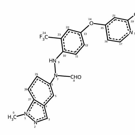 Cn1ncc2cc(N(C=O)Nc3ccc(Oc4ccnc(C#N)c4)cc3C(F)(F)F)ccc21